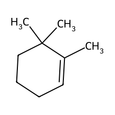 CC1=CCCCC1(C)C